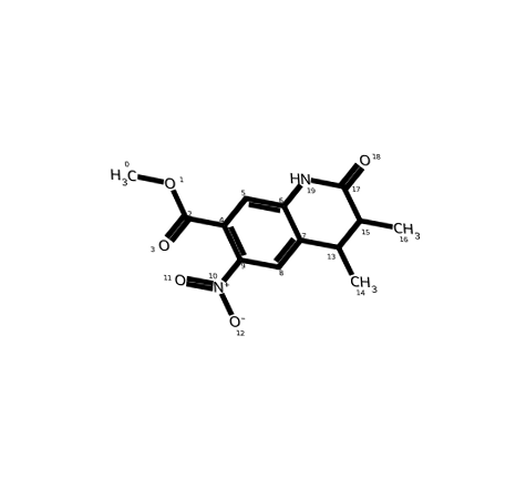 COC(=O)c1cc2c(cc1[N+](=O)[O-])C(C)C(C)C(=O)N2